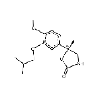 COc1ccc([C@]2(C)CNC(=O)O2)cc1OCC(C)C